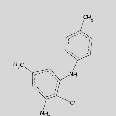 Cc1ccc(Nc2cc(C)cc(N)c2Cl)cc1